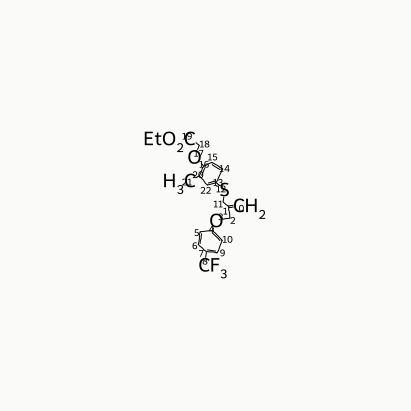 C=C(COc1ccc(C(F)(F)F)cc1)CSc1ccc(OCC(=O)OCC)c(C)c1